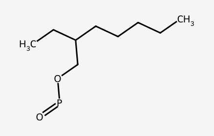 CCCCCC(CC)COP=O